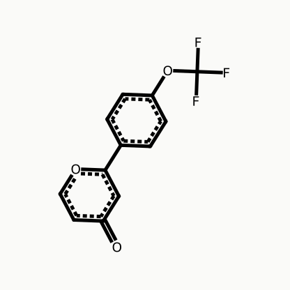 O=c1ccoc(-c2ccc(OC(F)(F)F)cc2)c1